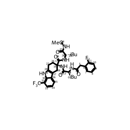 CCC(C)[C@H](NC(=O)Cc1ccccc1F)C(=O)N[C@]1(C(=O)N[C@H](C(=O)NOC)C(C)CC)CCc2[nH]c3c(C(F)(F)F)cccc3c2C1